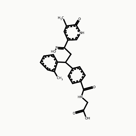 Cc1ccccc1C(C/C(=N\O)c1c[nH]c(=O)c(C)c1)c1ccc(C(=O)NCC(=O)O)cc1